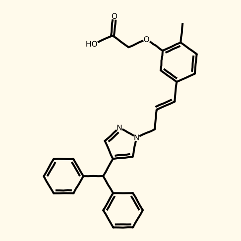 Cc1ccc(/C=C/Cn2cc(C(c3ccccc3)c3ccccc3)cn2)cc1OCC(=O)O